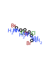 NCc1c(C(=O)c2cccc(-c3ccc(Nc4ccc(Br)cc4N)cc3Cl)c2CN)cccc1-c1ccc(Nc2ccc(Br)cc2N)cc1Cl